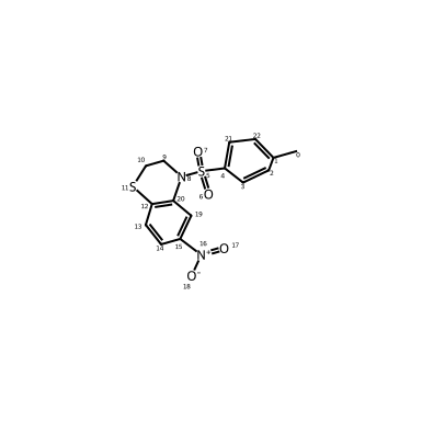 Cc1ccc(S(=O)(=O)N2CCSc3ccc([N+](=O)[O-])cc32)cc1